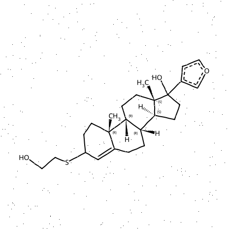 C[C@]12CCC(SCCO)C=C1CC[C@@H]1[C@H]2CC[C@@]2(C)[C@H]1CCC2(O)c1ccoc1